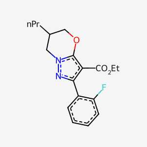 CCCC1COc2c(C(=O)OCC)c(-c3ccccc3F)nn2C1